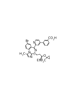 CCOC(=O)C1(OC(=O)CC[C@@H]2N=C(c3cc(-c4cccc(C(=O)O)c4)ccn3)c3cc(Br)ccc3-n3c(C)cnc32)CC1